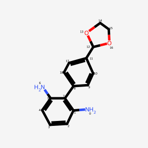 Nc1cccc(N)c1-c1ccc(C2OCCO2)cc1